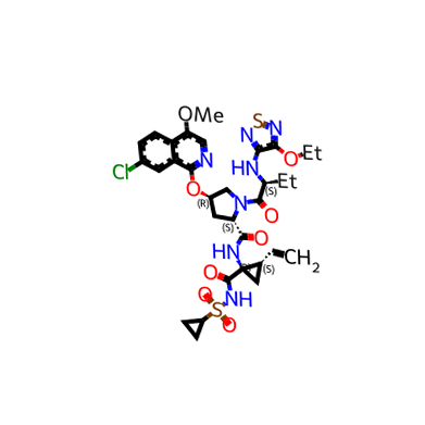 C=C[C@@H]1C[C@]1(NC(=O)[C@@H]1C[C@@H](Oc2ncc(OC)c3ccc(Cl)cc23)CN1C(=O)[C@H](CC)Nc1nsnc1OCC)C(=O)NS(=O)(=O)C1CC1